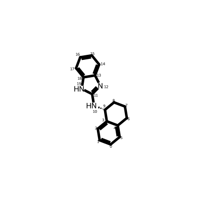 c1ccc2c(c1)CCC[C@H]2Nc1nc2ccccc2[nH]1